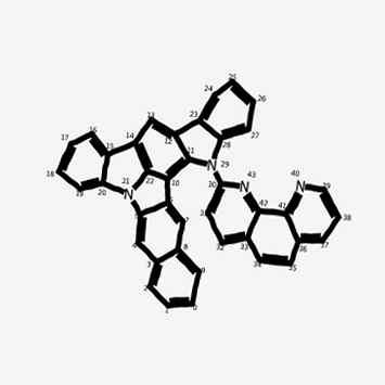 c1ccc2cc3c(cc2c1)c1c2c(cc4c5ccccc5n3c41)c1ccccc1n2-c1ccc2ccc3cccnc3c2n1